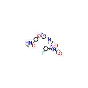 O=C(NC1CC1)c1ccc(Oc2ccc(CN3CCC(N4C(=O)N(C5CCOCC5)C[C@H]4c4cccc(F)c4)CC3)cn2)cc1